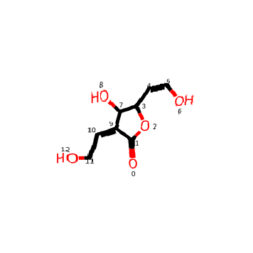 O=C1OC(/C=C\O)C(O)/C1=C/CO